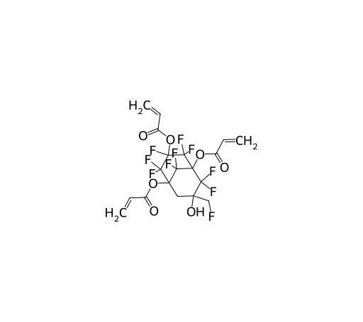 C=CC(=O)OC1(F)C(F)(F)C2(OC(=O)C=C)CC(O)(CF)C(F)(F)C(OC(=O)C=C)(C1(F)F)C2(F)F